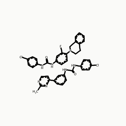 Cc1nccc(-c2cccc(NC(=O)Nc3ccc(Cl)cc3)c2)n1.O=C(Nc1ccc(Cl)cc1)Nc1ccc(N2CCc3ccccc3C2)c(F)c1